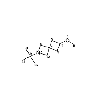 COC1CC2(C1)CN(C(C)(C)C)C2